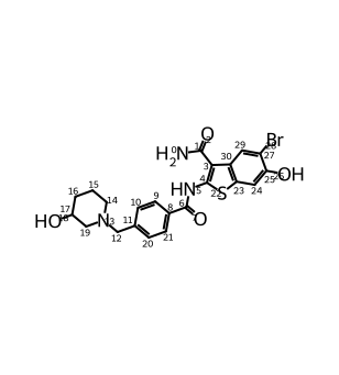 NC(=O)c1c(NC(=O)c2ccc(CN3CCCC(O)C3)cc2)sc2cc(O)c(Br)cc12